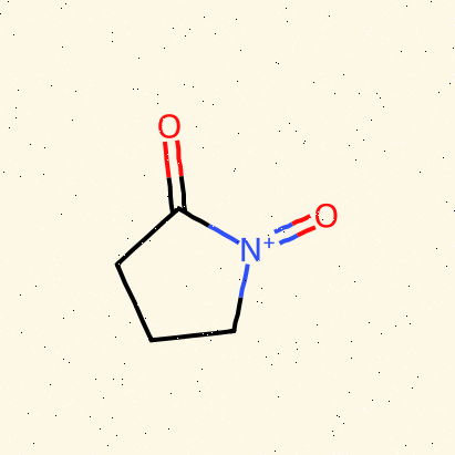 O=C1CCC[N+]1=O